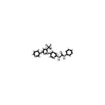 O=C(Nc1ccccc1)Nc1ccc(-n2nc(-c3cccnc3)cc2C(F)(F)F)cn1